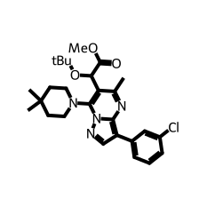 COC(=O)C(OC(C)(C)C)c1c(C)nc2c(-c3cccc(Cl)c3)cnn2c1N1CCC(C)(C)CC1